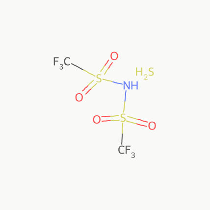 O=S(=O)(NS(=O)(=O)C(F)(F)F)C(F)(F)F.S